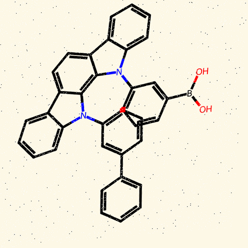 OB(O)c1cccc(-n2c3ccccc3c3ccc4c5ccccc5n(-c5cccc(-c6ccccc6)c5)c4c32)c1